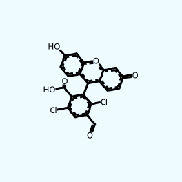 O=Cc1cc(Cl)c(C(=O)O)c(-c2c3ccc(=O)cc-3oc3cc(O)ccc23)c1Cl